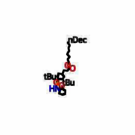 CCCCCCCCCCCCCCCCCCOC(=O)CCc1cc(C(C)(C)C)c(OP2Nc3ccccc3O2)c(C(C)(C)C)c1